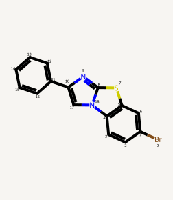 Brc1ccc2c(c1)sc1nc(-c3ccccc3)cn12